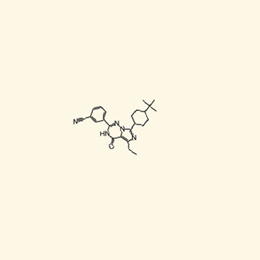 CCc1nc(C2CCC(C(C)(C)C)CC2)n2nc(-c3cccc(C#N)c3)[nH]c(=O)c12